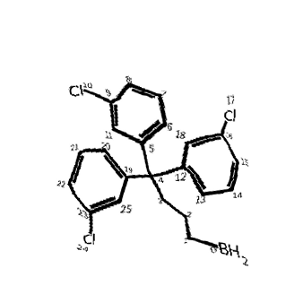 BCCCC(c1cccc(Cl)c1)(c1cccc(Cl)c1)c1cccc(Cl)c1